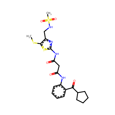 CSc1sc(NC(=O)CC(=O)Nc2ccccc2C(=O)C2CCCC2)nc1CNS(C)(=O)=O